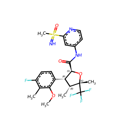 COc1c([C@@H]2[C@@H](C(=O)Nc3ccnc(S(C)(=N)=O)c3)O[C@](C)(C(F)(F)F)[C@@H]2C)ccc(F)c1C